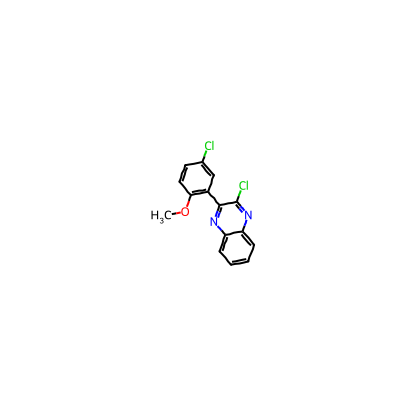 COc1ccc(Cl)cc1-c1nc2ccccc2nc1Cl